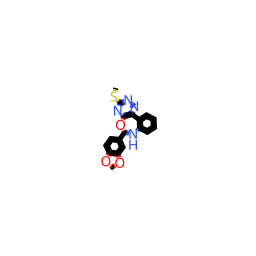 CSc1nnc2c(n1)OC(c1ccc3c(c1)OCO3)Nc1ccccc1-2